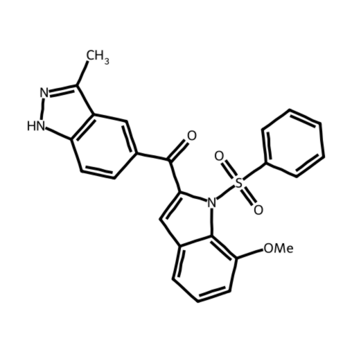 COc1cccc2cc(C(=O)c3ccc4[nH]nc(C)c4c3)n(S(=O)(=O)c3ccccc3)c12